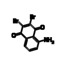 Nc1cccc2c1C(=O)C(Br)=C(Br)C2=O